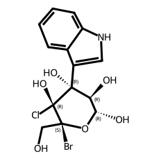 OC[C@@]1(Br)O[C@@H](O)[C@H](O)[C@](O)(c2c[nH]c3ccccc23)[C@@]1(O)Cl